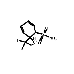 CC1(C(F)(F)F)C=CC=CC1S(N)(=O)=O